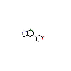 CCC(CC(=O)O)c1ccc2c(c1)CCN2.Cl